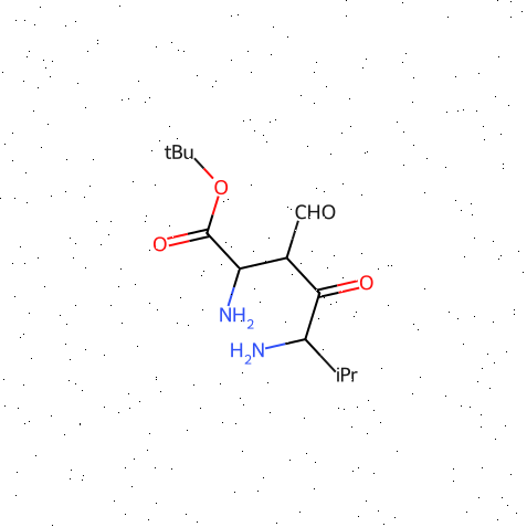 CC(C)C(N)C(=O)C(C=O)C(N)C(=O)OC(C)(C)C